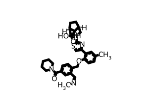 C/N=C\c1cc(C(=O)N2CCCCC2)ccc1COc1ccc(C)cc1-c1csc(N2C[C@H]3CC[C@@H](C2)[C@H]3C(=O)O)n1